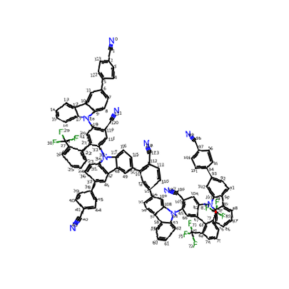 N#Cc1ccc(-c2ccc3c(c2)c2ccccc2n3-c2cc(-c3ccccc3C(F)(F)F)c(-n3c4ccc(-c5ccc(C#N)cc5)cc4c4cc(-c5cc(-c6ccc7c8ccccc8n(-c8cc(-c9c(C(F)(F)F)cccc9C(F)(F)F)c(-n9c%10ccccc%10c%10ccc(-c%11ccc(C#N)cc%11)cc%109)cc8C#N)c7c6)ccc5C#N)ccc43)cc2C#N)cc1